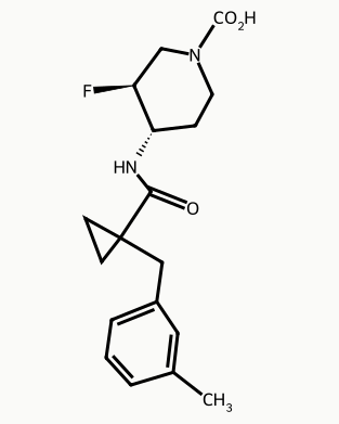 Cc1cccc(CC2(C(=O)N[C@H]3CCN(C(=O)O)C[C@@H]3F)CC2)c1